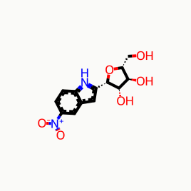 O=[N+]([O-])c1ccc2[nH]c([C@@H]3O[C@H](CO)[C@@H](O)[C@@H]3O)cc2c1